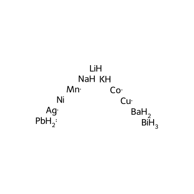 [Ag].[BaH2].[BiH3].[Co].[Cu].[KH].[LiH].[Mn].[NaH].[Ni].[PbH2]